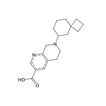 O=C(O)c1cnc2c(c1)CCN(C1CCCC3(CCC3)C1)C2